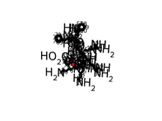 CC[C@H](C)[C@H](NC(=O)[C@H](CCCCN)NC(=O)[C@H](CCCCN)NC(=O)[C@H](CCCNC(=N)N)NC(=O)[C@H](CCCNC(=N)N)NC(=O)[C@H](CC(C)C)NC(=O)[C@H](Cc1c[nH]c2ccccc12)NC(=O)[C@@H](N)Cc1ccccc1)C(=O)N1CCC[C@H]1C(=O)O